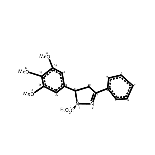 CCOC(=O)N1N=C(c2ccccc2)CC1c1cc(OC)c(OC)c(OC)c1